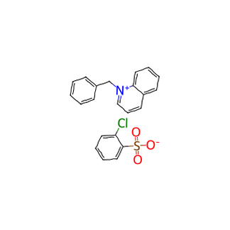 O=S(=O)([O-])c1ccccc1Cl.c1ccc(C[n+]2cccc3ccccc32)cc1